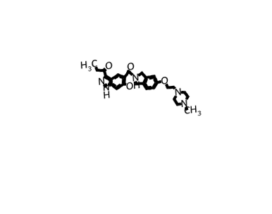 CCC(=O)c1n[nH]c2cc(O)c(C(=O)N3Cc4ccc(OCCN5CCN(C)CC5)cc4C3)cc12